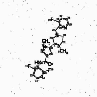 CC1=C(c2cc(C(=O)Nc3c(F)cccc3F)nn2C)CN(Cc2ncccc2F)CC1